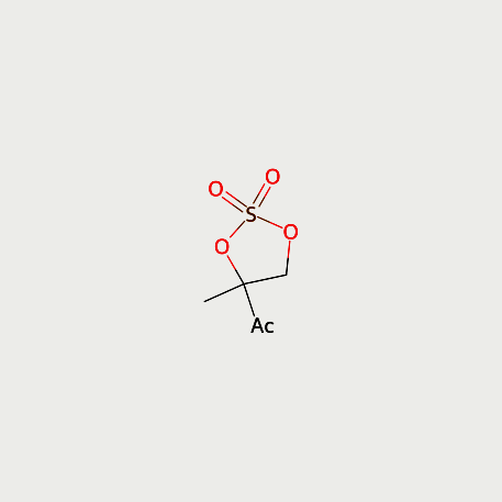 CC(=O)C1(C)COS(=O)(=O)O1